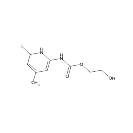 CC1=CC(I)NC(NC(=O)OCCO)=C1